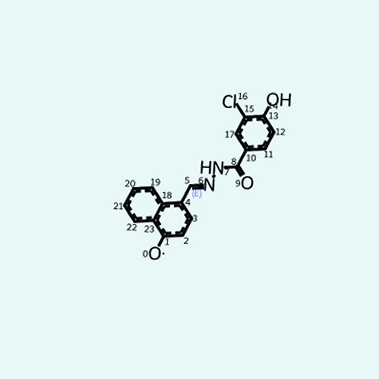 [O]c1ccc(/C=N/NC(=O)c2ccc(O)c(Cl)c2)c2ccccc12